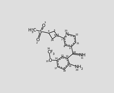 CS(=O)(=O)C1CN(c2cc(C(=N)c3cc(OC(F)(F)F)ccc3N)ccn2)C1